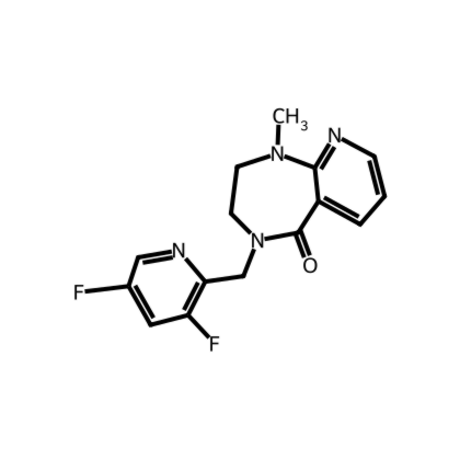 CN1CCN(Cc2ncc(F)cc2F)C(=O)c2cccnc21